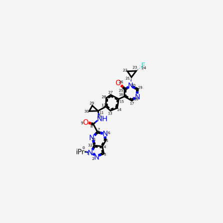 CC(C)n1ncc2cnc(C(=O)NC3(c4ccc(-c5cncn([C@@H]6C[C@@H]6F)c5=O)cc4)CC3)nc21